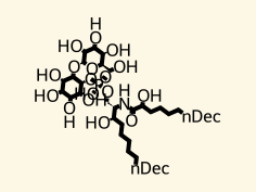 CCCCCCCCCCCCCCC[C@@H](O)[C@H](COP(=O)(O)O[C@H]1C(O)C(O)C(O)[C@@H](O)C1O[C@H]1O[C@H](CO)[C@@H](O)C(O)C1O)NC(=O)C(O)CCCCCCCCCCCCCC